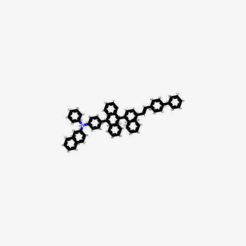 C(=C\c1ccc(-c2c3ccccc3c(-c3ccc(N(c4ccccc4)c4ccc5ccccc5c4)cc3)c3ccccc23)c2ccccc12)/c1ccc(-c2ccccc2)cc1